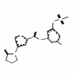 CS(=O)(=O)Nc1cc(Cl)cc(NC(=O)c2cc(N3CCCC3=O)cs2)c1